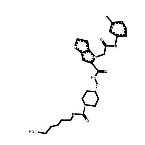 Cc1cccc(NC(=O)Cn2c(C(=O)NC[C@H]3CC[C@H](C(=O)NCCCCCC(=O)O)CC3)cc3sccc32)c1